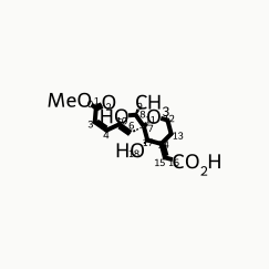 COC(=O)/C=C\C=C\[C@]1([C@H](C)O)OCC/C(=C\C(=O)O)[C@@H]1O